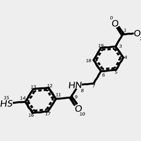 O=C(O)c1ccc(CNC(=O)c2ccc(S)cc2)cc1